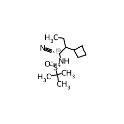 CCC(C1CCC1)[C@@H](C#N)N[S@@+]([O-])C(C)(C)C